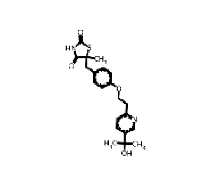 CC1(Cc2ccc(OCCc3ccc(C(C)(C)O)cn3)cc2)SC(=O)NC1=O